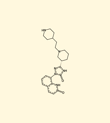 O=c1ccc2cccc(-n3nc([C@H]4CCCN(CCC5CCNCC5)C4)[nH]c3=O)c2[nH]1